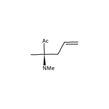 C=CC[C@@](C)(NC)C(C)=O